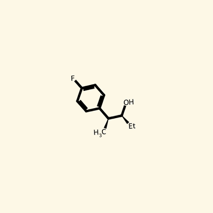 CC[C@H](O)[C@@H](C)c1ccc(F)cc1